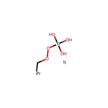 CC(C)CO[O][Ti]([OH])([OH])[OH].[Ti]